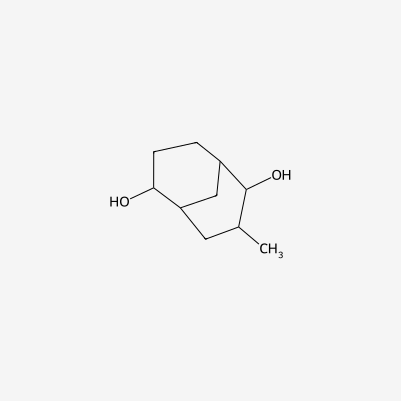 CC1CC2CC(CCC2O)C1O